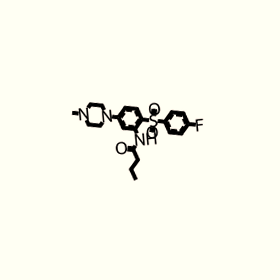 CCCC(=O)Nc1cc(N2CCN(C)CC2)ccc1S(=O)(=O)c1ccc(F)cc1